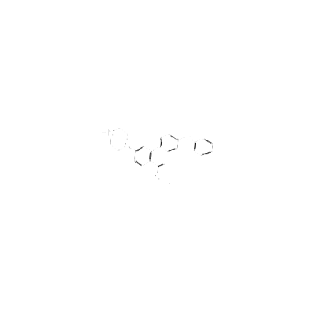 NC(=O)c1ccc(N2CCNCC2)cc1-c1ccc(Oc2ccccc2)cc1